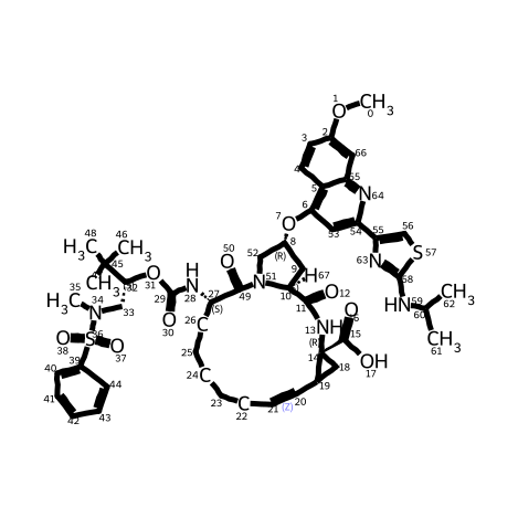 COc1ccc2c(O[C@@H]3C[C@H]4C(=O)N[C@]5(C(=O)O)CC5/C=C\CCCCC[C@H](NC(=O)O[C@H](CN(C)S(=O)(=O)c5ccccc5)C(C)(C)C)C(=O)N4C3)cc(-c3csc(NC(C)C)n3)nc2c1